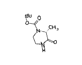 C[C@@H]1C(=O)NCCN1C(=O)OC(C)(C)C